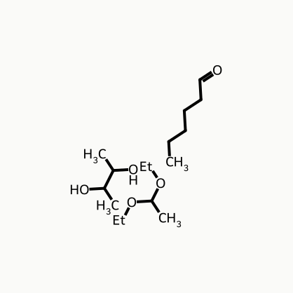 CC(O)C(C)O.CCCCCC=O.CCOC(C)OCC